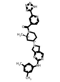 Cc1cc(C)cc(Nc2ncc3c(n2)CN([C@H]2CCN(C(=O)c4ccnc(-c5nnn[nH]5)c4)[C@H](C)C2)C3)c1